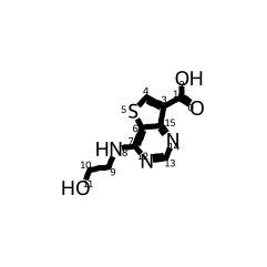 O=C(O)c1csc2c(NCCO)ncnc12